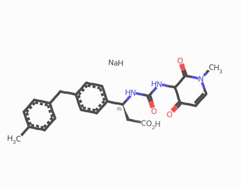 Cc1ccc(Cc2ccc([C@H](CC(=O)O)NC(=O)NC3C(=O)C=CN(C)C3=O)cc2)cc1.[NaH]